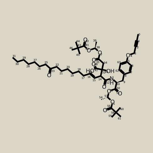 CC#CCOc1ccc(C[C@H](NC(=O)C(/C=C/CCCCCCC(=O)CCCCCCC)C(O)(CC(=O)O[C@H](C)OC(=O)C(C)(C)C)C(=O)O)C(=O)O[C@@H](C)OC(=O)C(C)(C)C)cc1